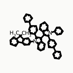 CC1(C)c2ccccc2-c2ccc(-n3c(-c4ccc(-c5ccccc5)cc4)c(-c4c(-c5ccc(-c6ccccc6)cc5)n(-c5ccccc5)c5ccccc45)c4ccccc43)cc21